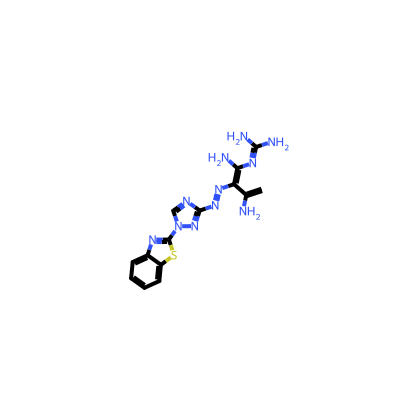 C=C(N)C(/N=N/c1ncn(-c2nc3ccccc3s2)n1)=C(/N)N=C(N)N